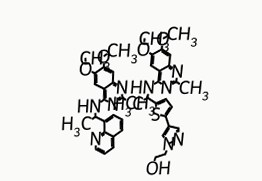 COc1cc2nc(C)nc(NC(C)c3ccc(-c4cnn(CCO)c4)s3)c2cc1OC.COc1cc2nc(C)nc(NC(C)c3cccc4cccnc34)c2cc1OC